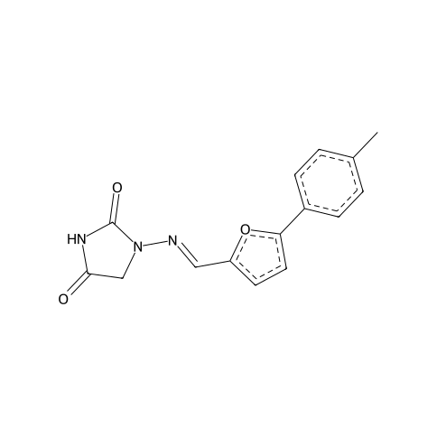 Cc1ccc(-c2ccc(C=NN3CC(=O)NC3=O)o2)cc1